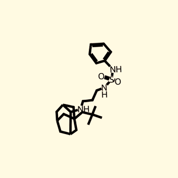 CC(C)(C)CC12CC3CC(C1)C(NCCCNS(=O)(=O)Nc1ccccc1)C(C3)C2